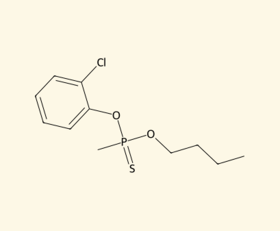 CCCCOP(C)(=S)Oc1ccccc1Cl